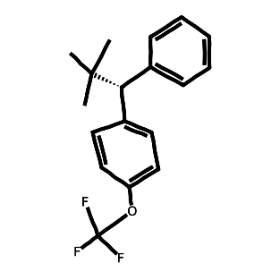 CC(C)(C)[C@H](c1ccccc1)c1ccc(OC(F)(F)F)cc1